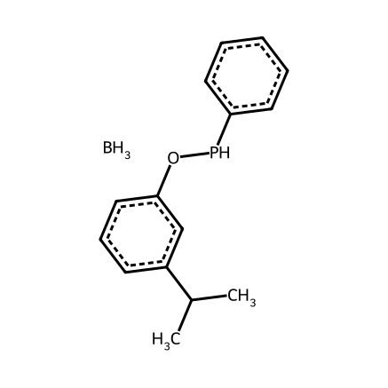 B.CC(C)c1cccc(OPc2ccccc2)c1